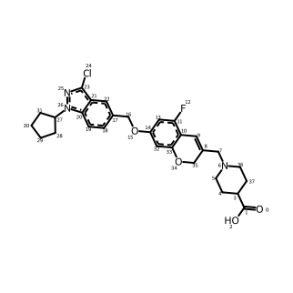 O=C(O)C1CCN(CC2=Cc3c(F)cc(OCc4ccc5c(c4)c(Cl)nn5C4CCCC4)cc3OC2)CC1